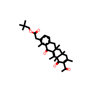 CC(=O)C1=C(C)CC2(C)CC3(C)Cc4ccc(CC(=O)OCC(C)(C)C)c(C)c4C(=O)C3=C(C)C2(C)C1=O